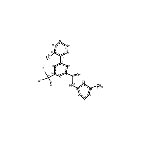 Cc1cccc(NC(=O)c2cc(-c3cnccc3C)cc(C(F)(F)F)c2)n1